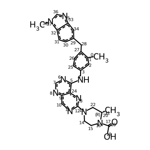 Cc1cc(Nc2ncnc3cnc(N4CCN(C(=O)O)[C@H](C)C4)nc23)ccc1Cc1ccc2c(c1)ncn2C